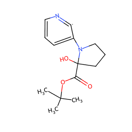 CC(C)(C)OC(=O)C1(O)CCCN1c1[c]nccc1